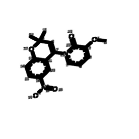 COc1cccn(C2=CC(C)(C)Oc3ccc([N+](=O)[O-])cc32)c1=O